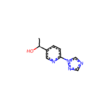 CC(O)c1ccc(-n2cncn2)nc1